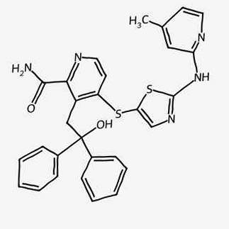 Cc1ccnc(Nc2ncc(Sc3ccnc(C(N)=O)c3CC(O)(c3ccccc3)c3ccccc3)s2)c1